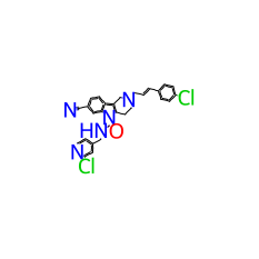 N#Cc1ccc2c3c(n(C(=O)NCc4ccnc(Cl)c4)c2c1)CCN(CC=Cc1ccc(Cl)cc1)C3